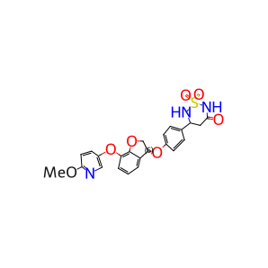 COc1ccc(Oc2cccc3c2OC[C@H]3Oc2ccc(C3CC(=O)NS(=O)(=O)N3)cc2)cn1